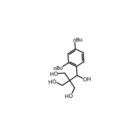 CCCCc1ccc(C(O)C(CO)(CO)CO)c(CCCC)c1